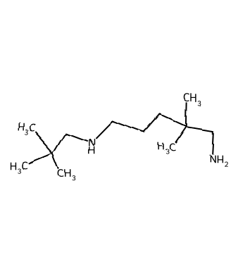 CC(C)(C)CNCCCC(C)(C)CN